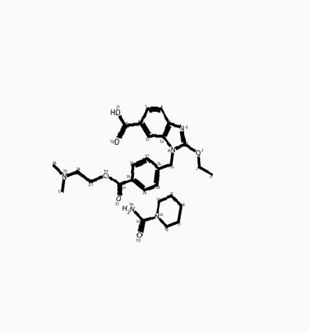 CCOc1nc2ccc(C(=O)O)cc2n1Cc1ccc(C(=O)OCCN(C)C)cc1.NC(=O)N1CCCCC1